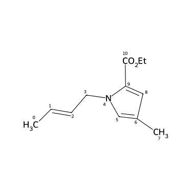 CC=CCn1cc(C)cc1C(=O)OCC